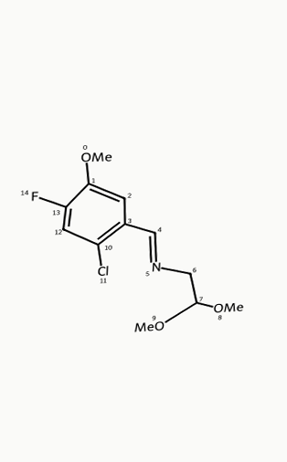 COc1cc(C=NCC(OC)OC)c(Cl)cc1F